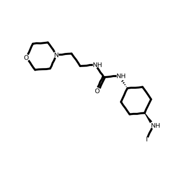 O=C(NCCN1CCOCC1)N[C@H]1CC[C@H](NI)CC1